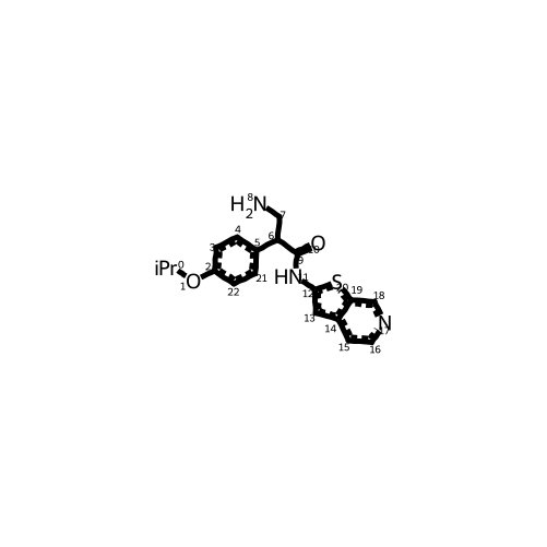 CC(C)Oc1ccc(C(CN)C(=O)Nc2cc3ccncc3s2)cc1